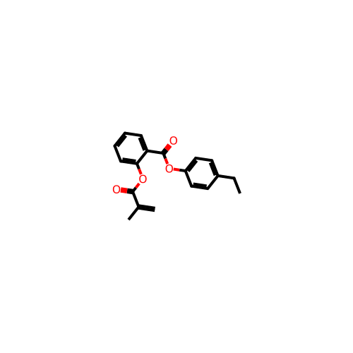 C=C(C)C(=O)Oc1ccccc1C(=O)Oc1ccc(CC)cc1